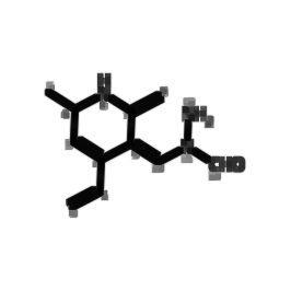 C=CC1=CC(C)NC(=C)/C1=C\N(N)C=O